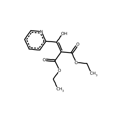 CCOC(=O)C(C(=O)OCC)=C(O)c1ccccn1